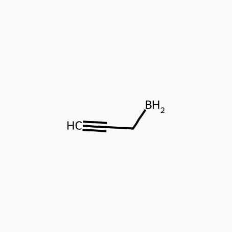 BCC#C